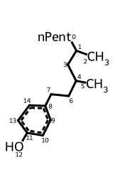 CCCCCC(C)CC(C)CCc1ccc(O)cc1